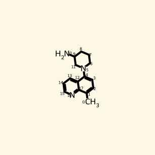 Cc1ccc(N2CCCC(N)C2)c2cccnc12